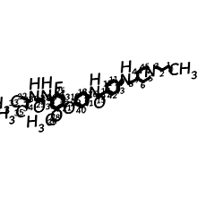 CCCCN1CCC(CNc2ccc(C(=O)Nc3ccc(Oc4cc(F)c(NC(=O)NC(CC)CC)cc4OC)cc3)cc2)CC1